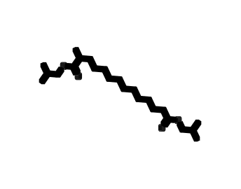 CC(C)COC(=O)CCCCCCCCCCCC(C)C(=O)OCC(C)C